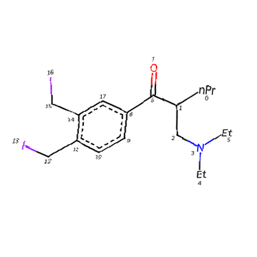 CCCC(CN(CC)CC)C(=O)c1ccc(CI)c(CI)c1